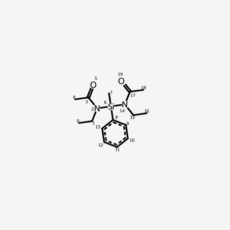 CCN(C(C)=O)[Si](C)(c1ccccc1)N(CC)C(C)=O